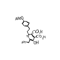 COc1ccc(CCc2nc(CC(C)C)c(O)c(C(=O)O)c2C(=O)O)cc1